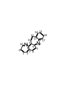 C1=CC=c2ccc3c(c2N=C1)C=Cc1ccccc1N=3